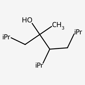 CC(C)CC(C(C)C)C(C)(O)CC(C)C